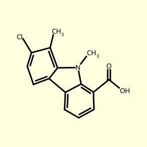 Cc1c(Cl)ccc2c3cccc(C(=O)O)c3n(C)c12